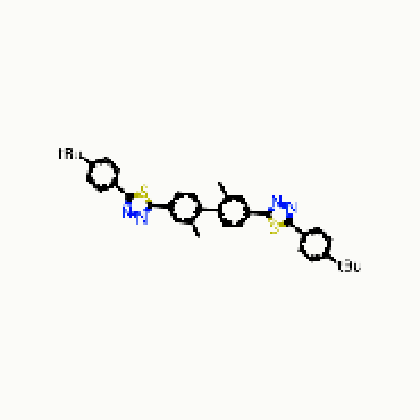 Cc1cc(-c2nnc(-c3ccc(C(C)(C)C)cc3)s2)ccc1-c1ccc(-c2nnc(-c3ccc(C(C)(C)C)cc3)s2)cc1C